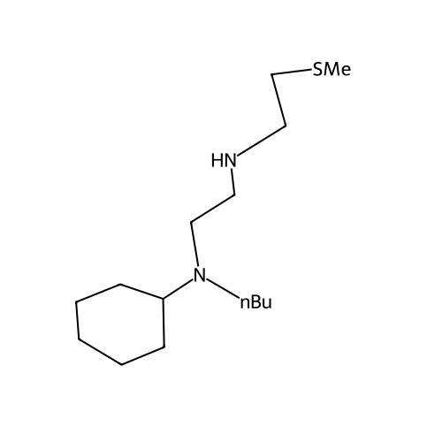 CCCCN(CCNCCSC)C1CCCCC1